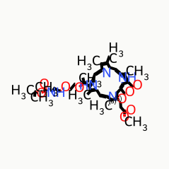 CCC1=C(C)c2cc3[nH]c(cc4nc(c5c6[nH]c(cc1n2)c(C)c6C(=O)OC5=O)[C@@H](CCC(=O)OC)[C@@H]4C)c(C)c3C(C)OCCOCCNC(=O)OC(C)(C)C